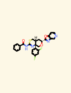 O=C(NC1=N[C@@]2(c3ccc(F)cc3F)CO[C@@H](c3nc4cnccc4o3)C[C@H]2CS1)c1ccccc1